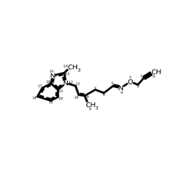 C#CCON=CCCC(C)=CCn1c(C)nc2ccccc21